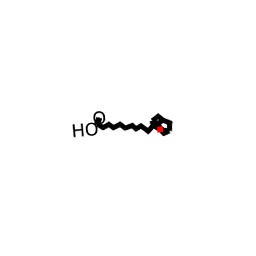 O=C(O)CCCCCCCCCC1C2CC3CC(C2)CC1C3